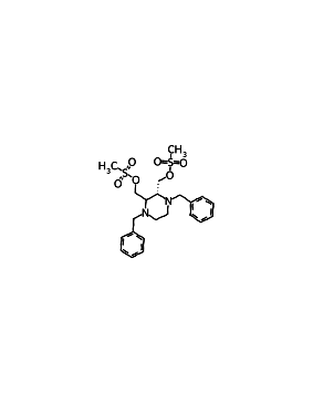 CS(=O)(=O)OCC1[C@H](COS(C)(=O)=O)N(Cc2ccccc2)CCN1Cc1ccccc1